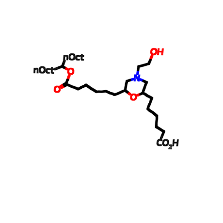 CCCCCCCCC(CCCCCCCC)OC(=O)CCCCCC1CN(CCO)CC(CCCCCC(=O)O)O1